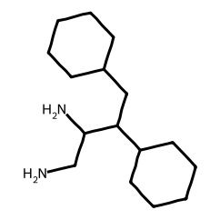 NCC(N)C(CC1CCCCC1)C1CCCCC1